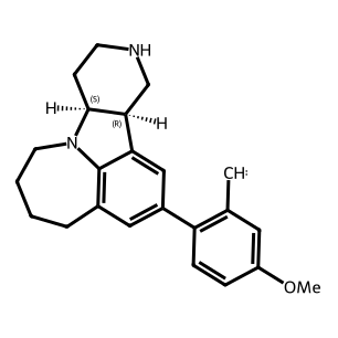 [CH]c1cc(OC)ccc1-c1cc2c3c(c1)[C@@H]1CNCC[C@@H]1N3CCCC2